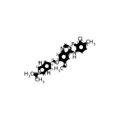 COc1cc2c(Nc3ccc(C)c(Cl)c3F)ncnc2cc1OC[C@@H]1C[C@@H]2CN(C(C)C)C[C@@H]2C1